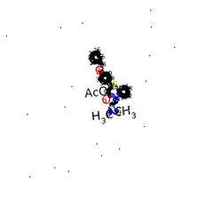 CC(=O)OC1C(=O)N(CCN(C)C)c2ccccc2SC1c1ccc(OCc2ccccc2)cc1